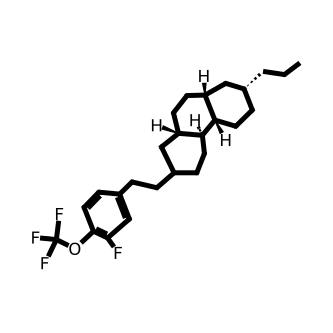 CCC[C@@H]1CC[C@H]2[C@H](CC[C@H]3CC(CCc4ccc(OC(F)(F)F)c(F)c4)CC[C@@H]32)C1